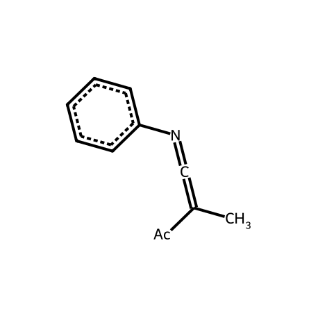 CC(=O)C(C)=C=Nc1ccccc1